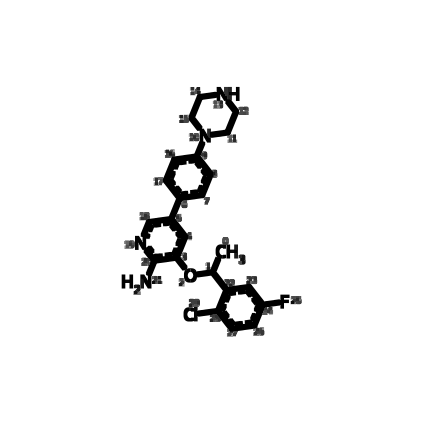 CC(Oc1cc(-c2ccc(N3CCNCC3)cc2)cnc1N)c1cc(F)ccc1Cl